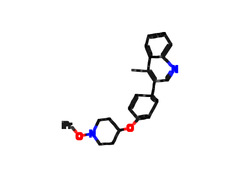 Cc1c(-c2ccc(OC3CCN(OC(C)C)CC3)cc2)cnc2ccccc12